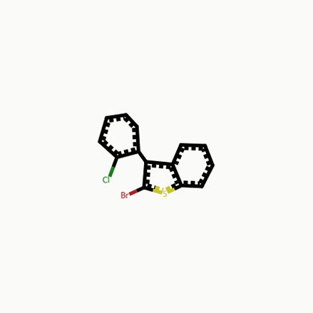 Clc1ccccc1-c1c(Br)sc2ccccc12